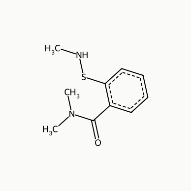 CNSc1ccccc1C(=O)N(C)C